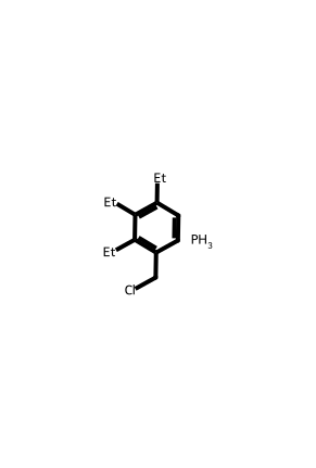 CCc1ccc(CCl)c(CC)c1CC.P